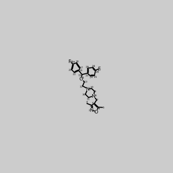 Cc1noc(C)c1CN1CCN(CCOC(c2ccc(F)cc2)c2ccc(F)cc2)CC1